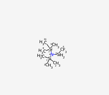 C[Si](C)(C)N([SiH2]C(F)(F)F)[Si](C)(C)C